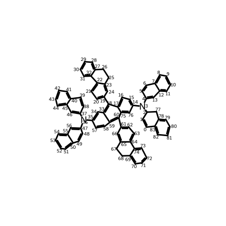 C1=CC(N(c2ccc3ccccc3c2)c2ccc3c(-c4ccc5c(c4)CCc4ccccc4-5)c4cc(N(c5ccc6ccccc6c5)c5ccc6ccccc6c5)ccc4c(-c4ccc5c(c4)CCc4ccccc4-5)c3c2)Cc2ccccc21